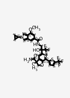 COc1cc(C(=O)NCC(O)(c2cc3c(c(-c4ccc(C(F)(F)F)s4)n2)OC[C@]3(C)C(N)=O)C(F)(F)F)cc2cn(C3CC3)nc12